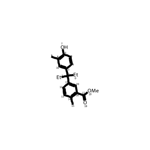 CCC(CC)(c1ccc(O)c(C)c1)c1ccc(C)c(C(=O)OC)c1